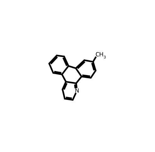 Cc1ccc2c(c1)c1ccccc1c1cccnc12